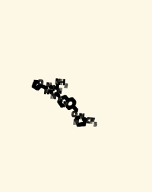 Nc1nc(N2CCN3CC(COc4nccc(C(F)(F)F)n4)CCC3C2)nc2nc(-c3ccco3)nn12